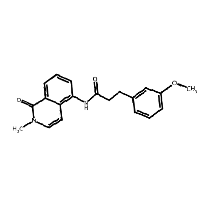 COc1cccc(CCC(=O)Nc2cccc3c(=O)n(C)ccc23)c1